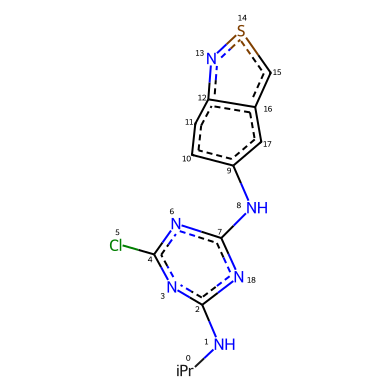 CC(C)Nc1nc(Cl)nc(Nc2ccc3nscc3c2)n1